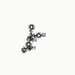 O=C(N[C@@H](CCc1ccc(Cl)cc1)C(=O)NCCCc1ccccc1)c1ccc2c(-c3ccccc3)n[nH]c2c1